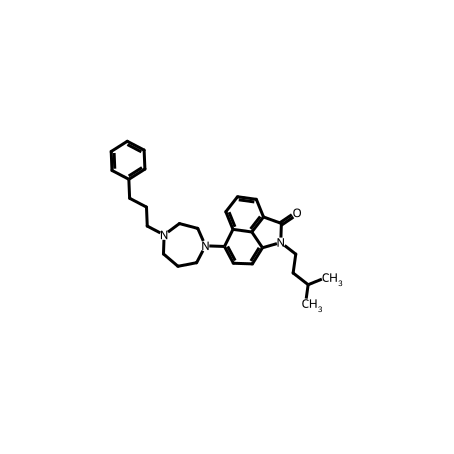 CC(C)CCN1C(=O)c2cccc3c(N4CCCN(CCCc5ccccc5)CC4)ccc1c23